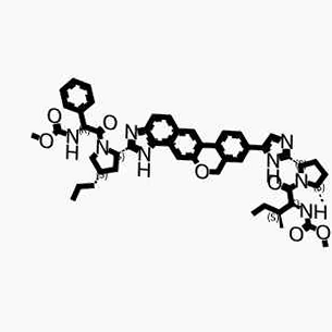 CCC[C@H]1C[C@@H](c2nc3ccc4cc5c(cc4c3[nH]2)OCc2cc(-c3cnc([C@@H]4CC[C@H](C)N4C(=O)[C@@H](NC(=O)OC)[C@@H](C)CC)[nH]3)ccc2-5)N(C(=O)[C@H](NC(=O)OC)c2ccccc2)C1